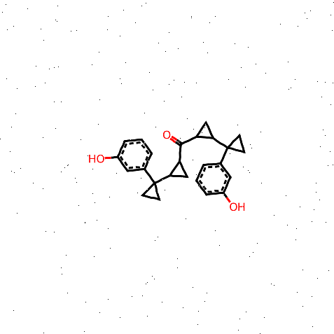 O=C(C1CC1C1(c2cccc(O)c2)CC1)C1CC1C1(c2cccc(O)c2)CC1